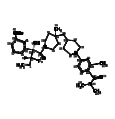 C=CC(F)(F)[C@](O)(C(=O)N1CCC(C)(CC2CCN(c3ccc(C(=O)N(C)C)c(C)c3)CC2)CC1)c1cccc(OC)c1